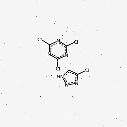 Clc1c[nH]nn1.Clc1nc(Cl)nc(Cl)n1